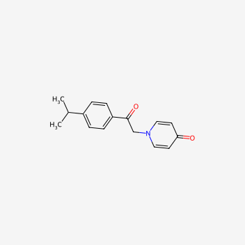 CC(C)c1ccc(C(=O)Cn2ccc(=O)cc2)cc1